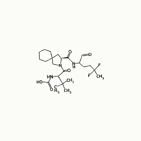 CC(F)(F)CCC(C=O)NC(=O)[C@@H]1CC2(CCCCC2)CN1C(=O)C(NC(=O)O)C(C)(C)C